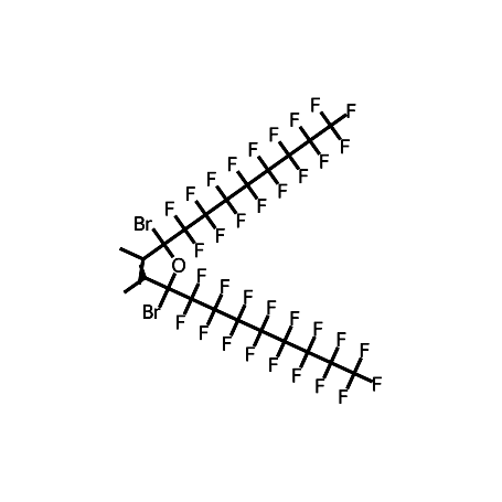 CC(C)C(Br)(OC(Br)(C(C)C)C(F)(F)C(F)(F)C(F)(F)C(F)(F)C(F)(F)C(F)(F)C(F)(F)C(F)(F)F)C(F)(F)C(F)(F)C(F)(F)C(F)(F)C(F)(F)C(F)(F)C(F)(F)C(F)(F)F